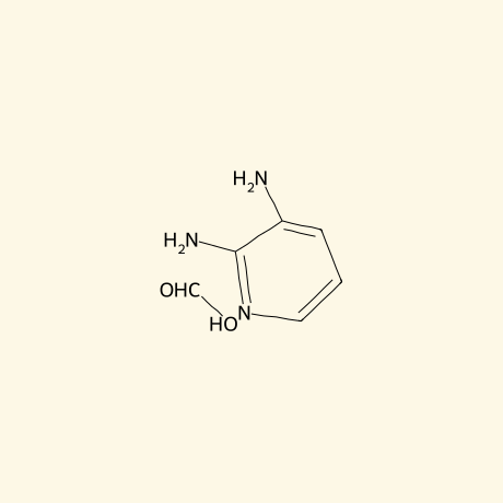 Nc1cccnc1N.O=CO